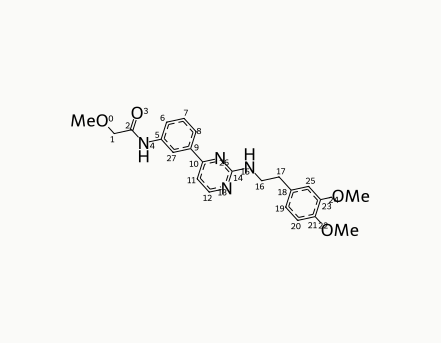 COCC(=O)Nc1cccc(-c2ccnc(NCCc3ccc(OC)c(OC)c3)n2)c1